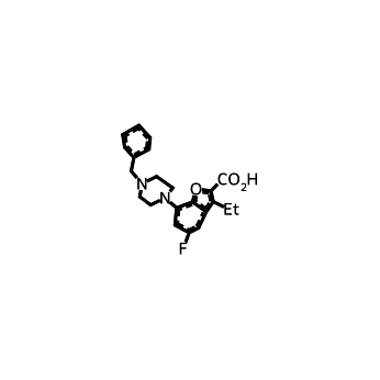 CCc1c(C(=O)O)oc2c(N3CCN(Cc4ccccc4)CC3)cc(F)cc12